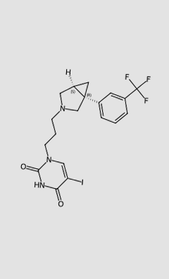 O=c1[nH]c(=O)n(CCCN2C[C@H]3C[C@@]3(c3cccc(C(F)(F)F)c3)C2)cc1I